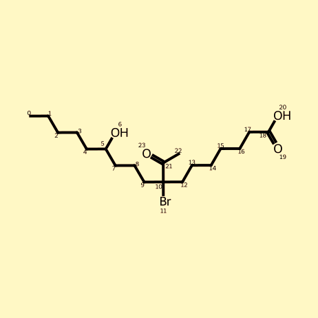 CCCCCC(O)CCCC(Br)(CCCCCCC(=O)O)C(C)=O